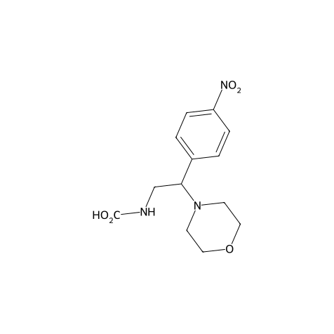 O=C(O)NCC(c1ccc([N+](=O)[O-])cc1)N1CCOCC1